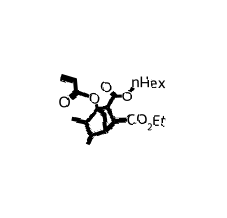 C=CC(=O)OC12CC(C(C)C1C)C(C(=O)OCC)C2C(=O)OCCCCCC